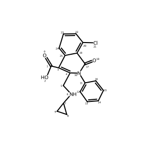 O=C(O)c1c(CNC2CC2)n(-c2ccccc2)c(=O)c2c(Cl)cccc12